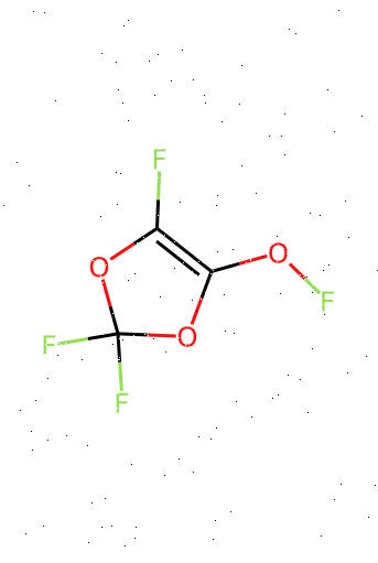 FOC1=C(F)OC(F)(F)O1